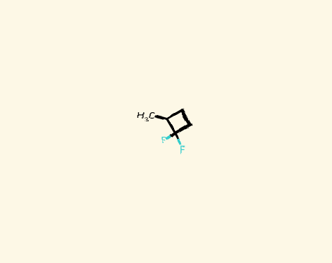 CC1CCC1(F)F